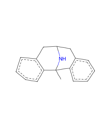 CC12NC(Cc3ccccc31)Cc1ccccc12